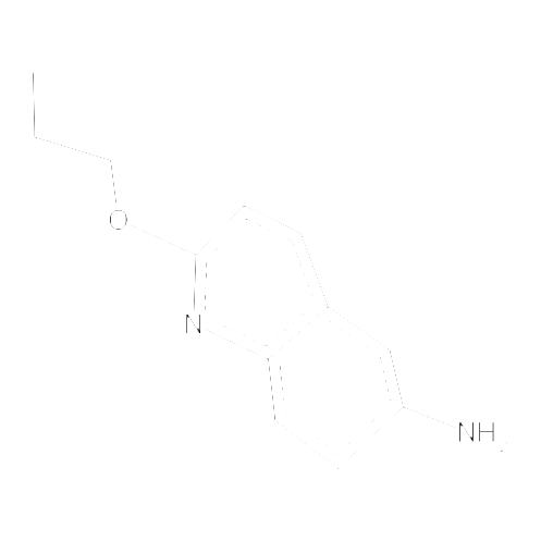 CCCOc1ccc2cc(N)ccc2n1